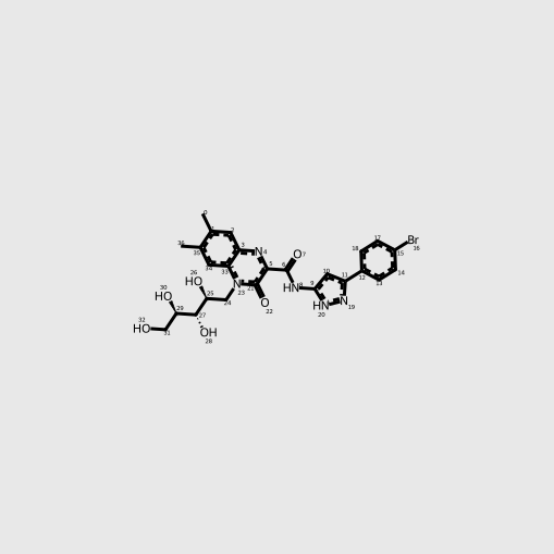 Cc1cc2nc(C(=O)Nc3cc(-c4ccc(Br)cc4)n[nH]3)c(=O)n(C[C@H](O)[C@H](O)[C@H](O)CO)c2cc1C